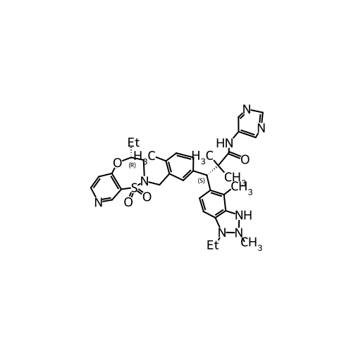 CC[C@@H]1CN(Cc2cc([C@@H](c3ccc4c(c3C)NN(C)N4CC)C(C)(C)C(=O)Nc3cncnc3)ccc2C)S(=O)(=O)c2cnccc2O1